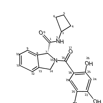 O=C(NC1CCC1)[C@H]1c2ccccc2CN1C(=O)c1cc(Cl)c(O)cc1O